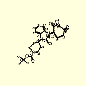 CC(C)(C)OC(=O)N1CCC(n2c(=O)n(C3CCC(=O)NC3=O)c3ccccc32)CC1